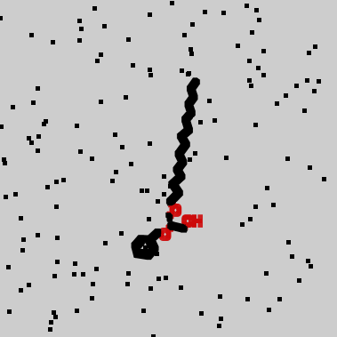 CCCCCCCCCCCCCCCCOC[C@H](CO)OCc1ccccc1